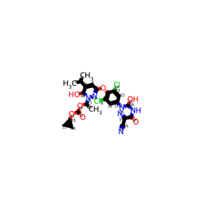 CC(C)C1=CC(Oc2c(Cl)cc(N3N=C(C#N)C(=O)NC3O)cc2Cl)=NN(C(C)OC(=O)OC2CC2)C1O